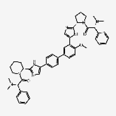 COc1ccc(-c2ccc(-c3cnc([C@@H]4CCCCN4C(=O)[C@@H](c4ccccc4)N(C)C)[nH]3)cc2)cc1-c1cnc([C@@H]2CCCN2C(=O)[C@@H](c2ccccc2)N(C)C)[nH]1